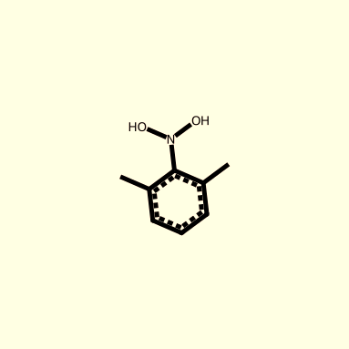 Cc1cccc(C)c1N(O)O